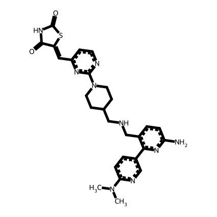 CN(C)c1ccc(-c2nc(N)ccc2CNCC2CCN(c3nccc(/C=C4\SC(=O)NC4=O)n3)CC2)cn1